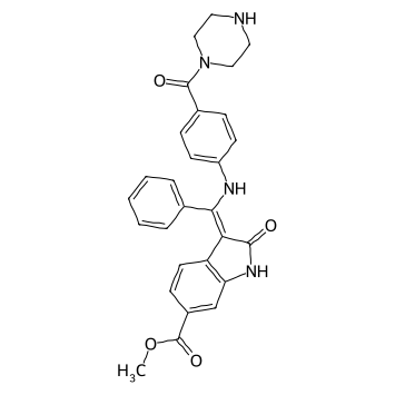 COC(=O)c1ccc2c(c1)NC(=O)/C2=C(\Nc1ccc(C(=O)N2CCNCC2)cc1)c1ccccc1